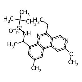 CCc1nc2c(C(C)N[S@+]([O-])C(C)(C)C)cc(C)cc2c2cc(OC)ncc12